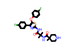 CC1(C(=O)NC(C)(C)C(=O)Nc2nc(-c3ccc(F)cc3)c(Oc3ccc(F)cc3)s2)CCNCC1